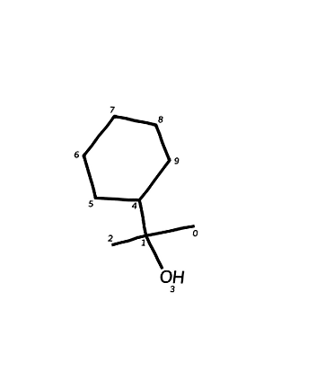 CC(C)(O)C1CCCCC1